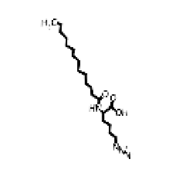 CCCCCCCCCCCCCC(=O)NC(CCCCN=[N+]=[N-])C(=O)O